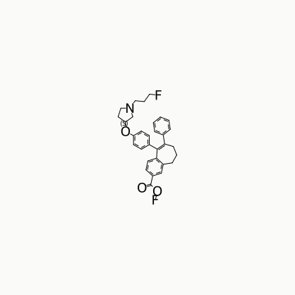 O=C(OF)c1ccc2c(c1)CCCC(c1ccccc1)=C2c1ccc(O[C@H]2CCN(CCCF)C2)cc1